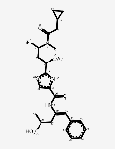 CC(=O)O[C@H](CC(C(C)C)N(C)C(=O)CC1CC1)c1nc(C(=O)N/C(=C/c2ccccc2)C[C@H](C)C(=O)O)cs1